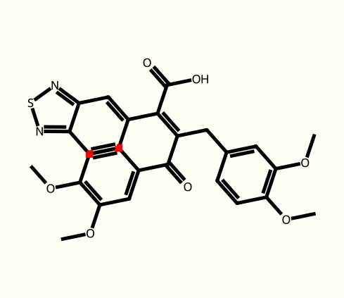 COc1ccc(C/C(C(=O)c2ccc(OC)c(OC)c2)=C(\C(=O)O)c2ccc3nsnc3c2)cc1OC